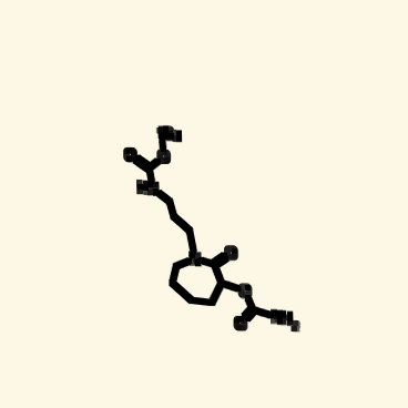 CC(C)(C)OC(=O)NCCCN1CCCCC(OC(N)=O)C1=O